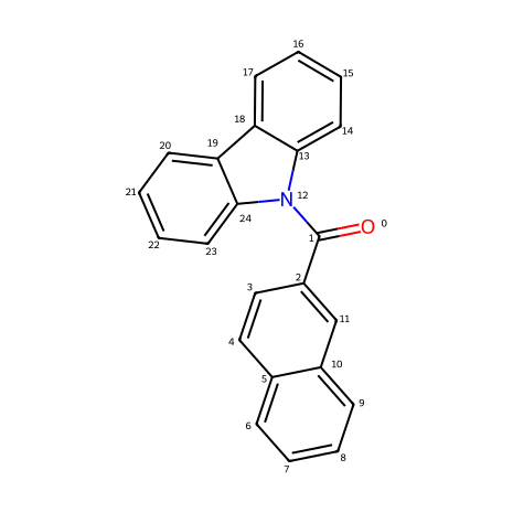 O=C(c1ccc2ccccc2c1)n1c2ccccc2c2ccccc21